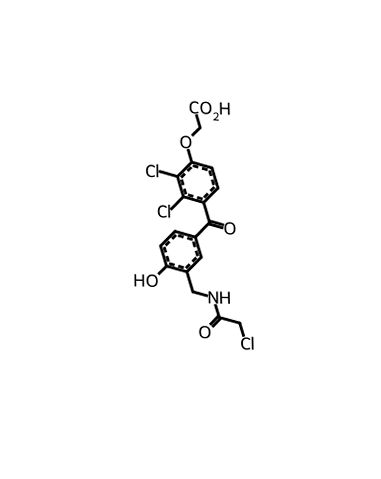 O=C(O)COc1ccc(C(=O)c2ccc(O)c(CNC(=O)CCl)c2)c(Cl)c1Cl